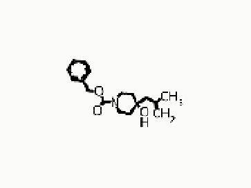 C=C(C)CC1(O)CCN(C(=O)OCc2ccccc2)CC1